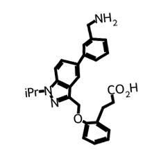 CC(C)n1nc(COc2ccccc2CCC(=O)O)c2cc(-c3cccc(CN)c3)ccc21